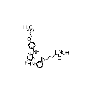 COCCOc1ccc(Nc2ncc(F)c(Nc3cccc(NCCCCC(=O)NO)c3)n2)cc1